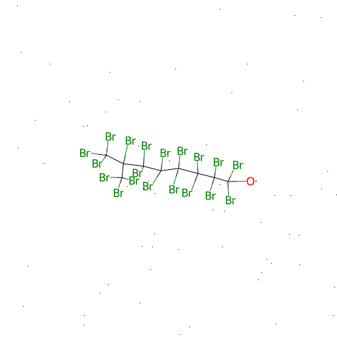 [O]C(Br)(Br)C(Br)(Br)C(Br)(Br)C(Br)(Br)C(Br)(Br)C(Br)(Br)C(Br)(C(Br)(Br)Br)C(Br)(Br)Br